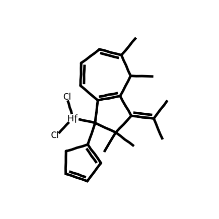 CC1=CC=CC2=C(C(=C(C)C)C(C)(C)[C]2(C2=CC=CC2)[Hf]([Cl])[Cl])C1C